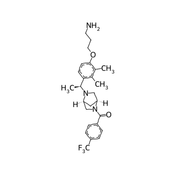 Cc1c(OCCCN)ccc([C@H](C)N2C[C@@H]3C[C@H]2CN3C(=O)c2ccc(C(F)(F)F)cc2)c1C